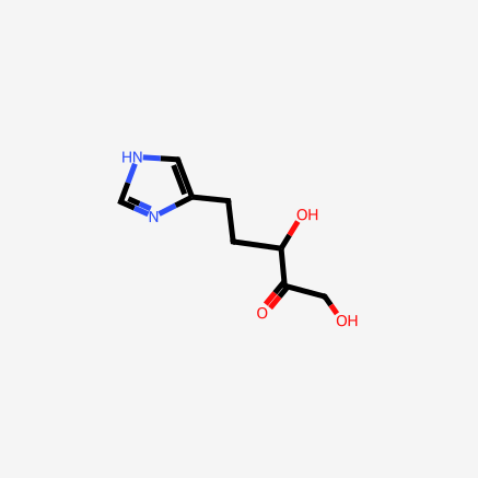 O=C(CO)C(O)CCc1c[nH]cn1